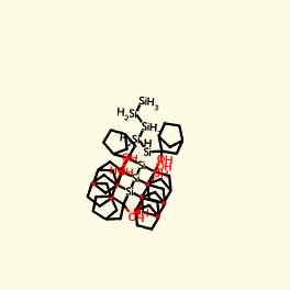 OC1([SiH]([SiH2][SiH2][SiH2][SiH3])[Si](C2(O)CC3CCC2C3)(C2(O)CC3CCC2C3)[Si](C2(O)CC3CCC2C3)(C2(O)CC3CCC2C3)[Si](C2(O)CC3CCC2C3)(C2(O)CC3CCC2C3)C2(O)CC3CCC2C3)CC2CCC1C2